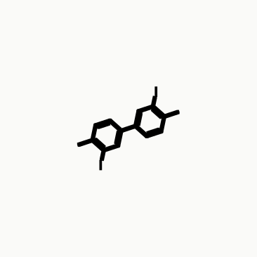 Cc1ccc(-c2ccc(C)c(I)c2)cc1I